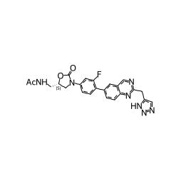 CC(=O)NC[C@H]1CN(c2ccc(-c3ccc4nc(Cc5cnn[nH]5)ncc4c3)c(F)c2)C(=O)O1